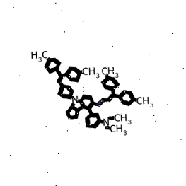 CCN(CC)c1cccc(-c2c(/C=C/C=C(c3ccc(C)cc3)c3ccc(C)cc3)ccc3c2C2CCCC2N3c2ccc(C=C(c3ccc(C)cc3)c3ccc(C)cc3)cc2)c1